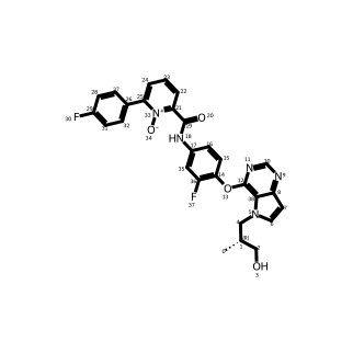 C[C@@H](CO)Cn1ccc2ncnc(Oc3ccc(NC(=O)c4cccc(-c5ccc(F)cc5)[n+]4[O-])cc3F)c21